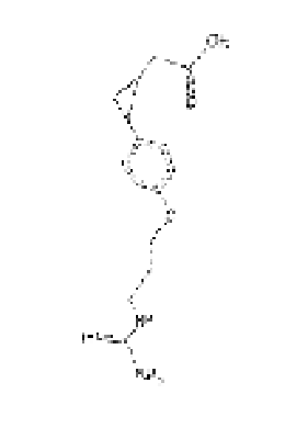 N=C(N)NCCCOc1ccc(C2CC2CC(=O)O)cc1